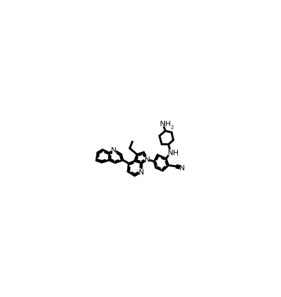 CCc1cn(-c2ccc(C#N)c(NC3CCC(N)CC3)c2)c2nccc(-c3cnc4ccccc4c3)c12